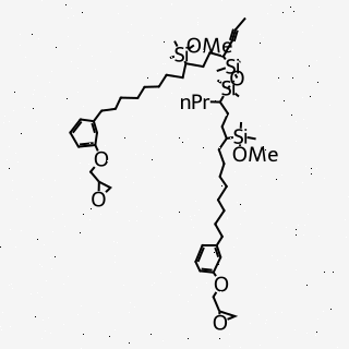 CC#CC(CCC(CCCCCCCCc1cccc(OCC2CO2)c1)[Si](C)(C)OC)[Si](C)(C)O[Si](C)(C)C(CCC)CCC(CCCCCCCCc1cccc(OCC2CO2)c1)[Si](C)(C)OC